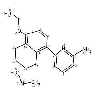 CCOc1ccc(-c2cccc(N)n2)c2c1CCCC2.CNC